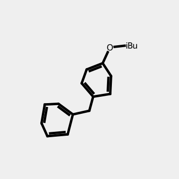 [CH2]CC(C)Oc1ccc(Cc2ccccc2)cc1